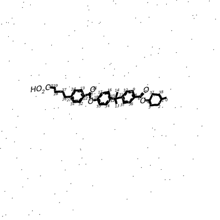 CC1CCC(OC(=O)c2ccc(C(C)(C)c3ccc(OC(=O)c4ccc(CCCCC(=O)O)cc4)cc3)cc2)CC1